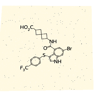 O=C(NC1CC2(C1)CC(C(=O)O)C2)c1cc(Br)cc2[nH]cc(Sc3ccc(C(F)(F)F)cc3)c12